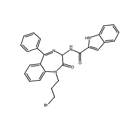 O=C(NC1N=C(c2ccccc2)c2ccccc2N(CCCBr)C1=O)c1cc2ccccc2[nH]1